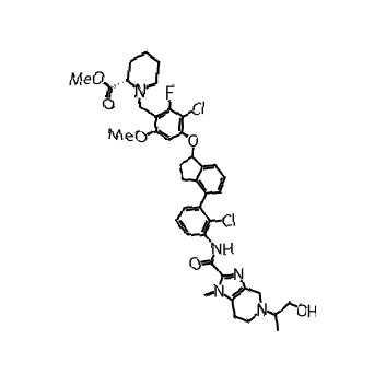 COC(=O)[C@@H]1CCCCN1Cc1c(OC)cc(OC2CCc3c(-c4cccc(NC(=O)c5nc6c(n5C)CCN(C(C)CO)C6)c4Cl)cccc32)c(Cl)c1F